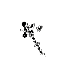 CC(C)[C@H](NC(=O)COCCOCCNC(=O)COCCOCCN)C(=O)N[C@@H](Cc1ccccc1)C[C@H](O)[C@H](Cc1ccccc1)NC(=O)OCc1cncs1.O=C(O)C(F)(F)F